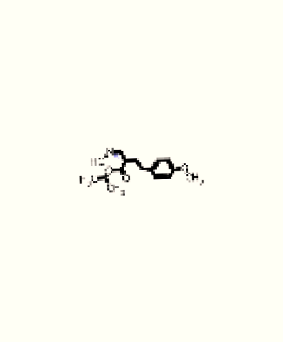 COc1ccc(CCC(/C=N\O)C(=O)OC(C)C)cc1